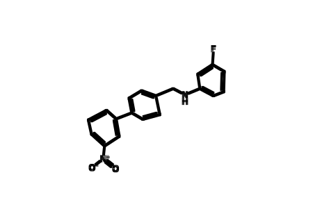 O=[N+]([O-])c1cccc(-c2ccc(CNc3cccc(F)c3)cc2)c1